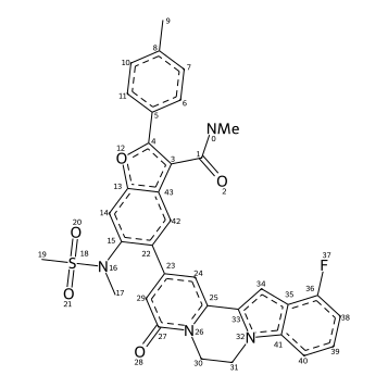 CNC(=O)c1c(-c2ccc(C)cc2)oc2cc(N(C)S(C)(=O)=O)c(-c3cc4n(c(=O)c3)CCn3c-4cc4c(F)cccc43)cc12